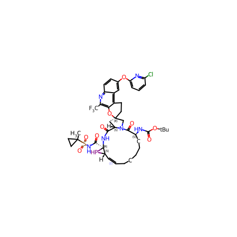 CC(C)(C)OC(=O)N[C@H]1CCCCC/C=C\[C@@H]2P[C@@]2(C(=O)NS(=O)(=O)C2(C)CC2)NC(=O)[C@@H]2C[C@]3(CCc4c(c(C(F)(F)F)nc5ccc(Oc6cccc(Cl)n6)cc45)O3)CN2C1=O